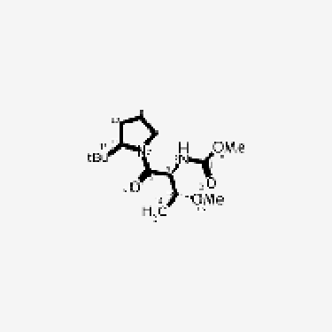 COC(=O)N[C@H](C(=O)N1CCCC1C(C)(C)C)[C@@H](C)OC